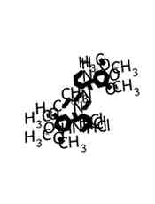 CCC(C)[C@H]1CN(CC2(c3cc(OC)c(OC)c(OC)c3)C=CC=CN2)CCN1CC1(c2cc(OC)c(OC)c(OC)c2)C=CC=CN1.Cl.Cl.Cl